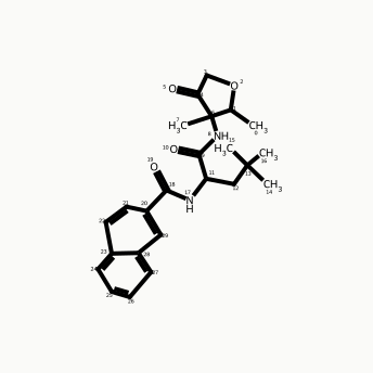 CC1OCC(=O)C1(C)NC(=O)C(CC(C)(C)C)NC(=O)c1ccc2ccccc2c1